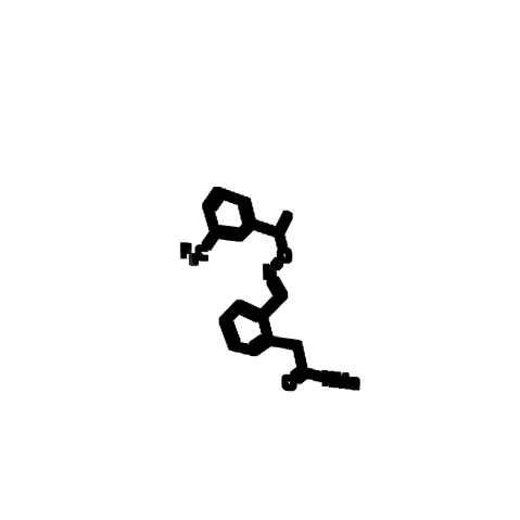 CNC(=O)Cc1ccccc1/C=N/OC(C)c1cccc(C(F)(F)F)c1